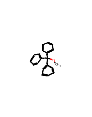 COC(c1c[c]ccc1)(c1ccccc1)c1ccccc1